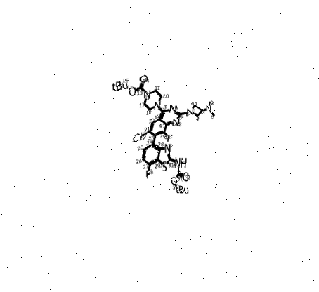 CN(C)C1CN(c2nc(N3CCN(C(=O)OC(C)(C)C)CC3)c3cc(Cl)c(-c4ccc(F)c5sc(NC(=O)OC(C)(C)C)nc45)c(F)c3n2)C1